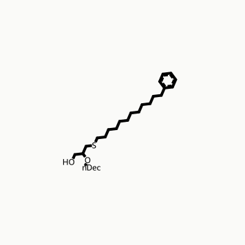 CCCCCCCCCCOC(CO)CSCCCCCCCCCCCCc1ccccc1